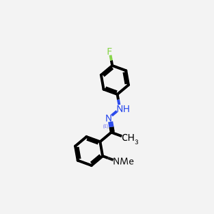 CNc1ccccc1/C(C)=N/Nc1ccc(F)cc1